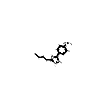 CCCCc1nnc(-c2ccc(N)cc2)o1